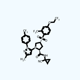 Cc1cc(N2C[C@H](S(=O)(=O)c3ccc(OCC(F)(F)F)cc3C(F)(F)F)C[C@H]2C(=O)NC2(C#N)CC2)n(-c2ccc(C(F)(F)F)cc2)n1